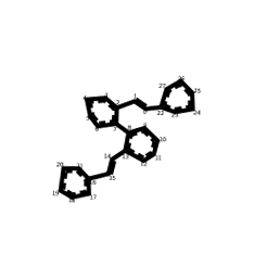 C(=Cc1ccccc1-c1ccccc1C=Cc1ccccc1)c1ccccc1